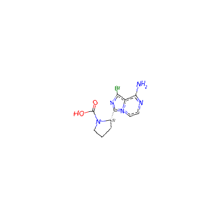 Nc1nccn2c([C@@H]3CCCN3C(=O)O)nc(Br)c12